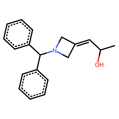 CC(O)C=C1CN(C(c2ccccc2)c2ccccc2)C1